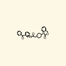 O=C(CN1CCC(N2C(=O)OCc3ccccc32)CC1)Nc1cccc(C(=O)c2ccccc2)c1